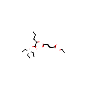 CCCC(OC(=O)C=CC(=O)OCC)C(=O)O[Si](CC)(CC)CC